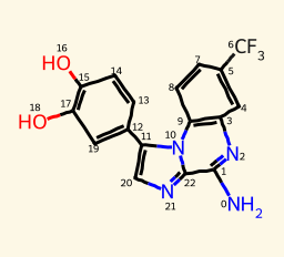 Nc1nc2cc(C(F)(F)F)ccc2n2c(-c3ccc(O)c(O)c3)cnc12